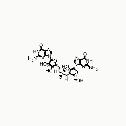 Nc1nc2c(ncn2[C@@H]2O[C@H](CNS(=O)(=O)N[C@H]3[C@@H](O)[C@H](n4cnc5c(=O)[nH]c(N)nc54)O[C@@H]3CO)[C@@H](O)[C@H]2O)c(=O)[nH]1